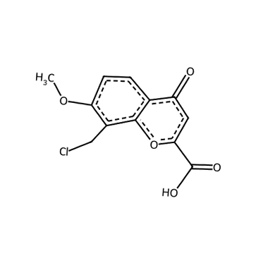 COc1ccc2c(=O)cc(C(=O)O)oc2c1CCl